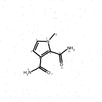 Cn1ccc(C(N)=O)c1C(N)=O